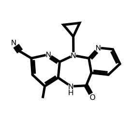 Cc1cc(C#N)nc2c1NC(=O)c1cccnc1N2C1CC1